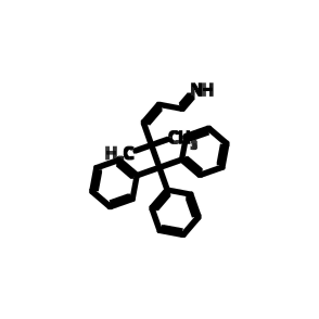 CC(C)(/C=C\C=N)C(c1ccccc1)(c1ccccc1)c1ccccc1